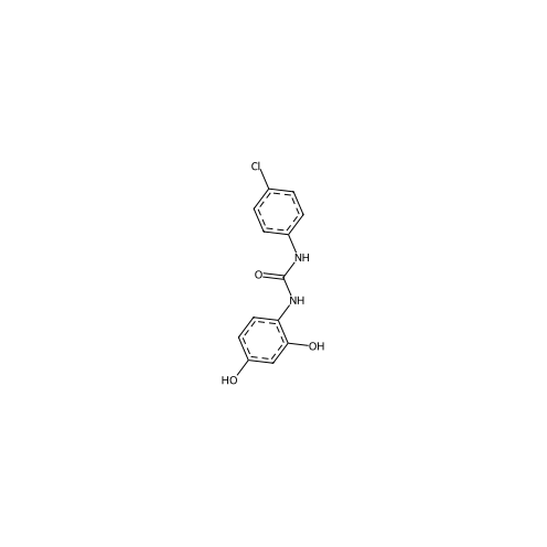 O=C(Nc1ccc(Cl)cc1)Nc1ccc(O)cc1O